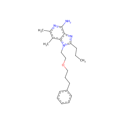 CCCc1nc2c(N)nc(C)c(C)c2n1CCOCCCc1ccccc1